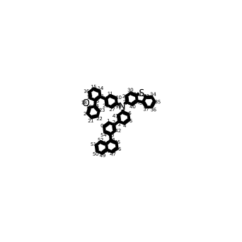 c1cc(-c2cccc(N(c3ccc(-c4cccc5oc6ccccc6c45)cc3)c3ccc4sc5ccccc5c4c3)c2)cc(-c2cccc3ccccc23)c1